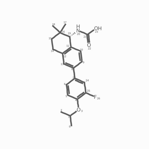 CC(C)Oc1ccc(-c2ccc3c(c2)CCC(C)(C)[C@@H]3NC(=O)O)cc1F